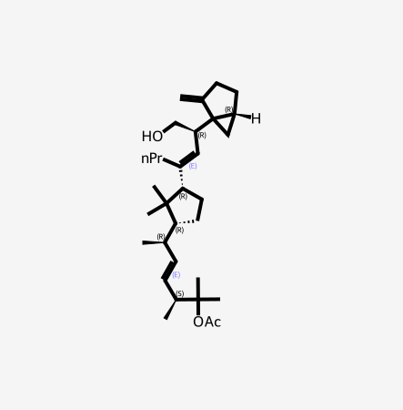 C=C1CC[C@@H]2CC12[C@@H](/C=C(\CCC)[C@@H]1CC[C@H]([C@H](C)/C=C/[C@H](C)C(C)(C)OC(C)=O)C1(C)C)CO